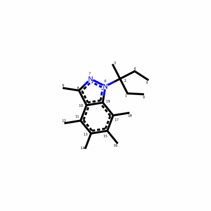 CCC(C)(CC)n1nc(C)c2c(C)c(C)c(C)c(C)c21